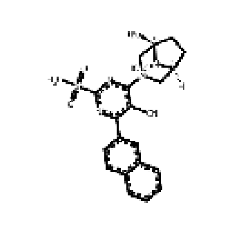 CC(C)(C)[C@]12CC[C@@H](CN(c3nc(S(C)(=O)=O)nc(-c4ccc5ccccc5c4)c3C#N)C1)N2C(=O)O